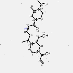 C=CC(=O)N1CCN(C(C)C/C=C\C(=O)N2CCN(C(C)C)C(C)C2)C(CO)C1